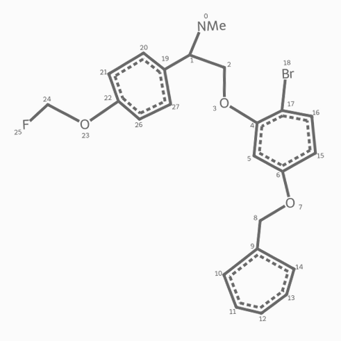 CNC(COc1cc(OCc2ccccc2)ccc1Br)c1ccc(OCF)cc1